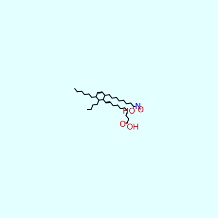 CCCCCCC1C=CC(CCCCCCCC(O)N=O)C(/C=C/CCCCCCCC(=O)O)C1CCCC